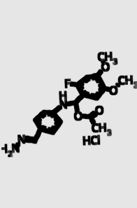 COc1cc(F)c(C(Nc2ccc(C=NN)cc2)OC(C)=O)cc1OC.Cl